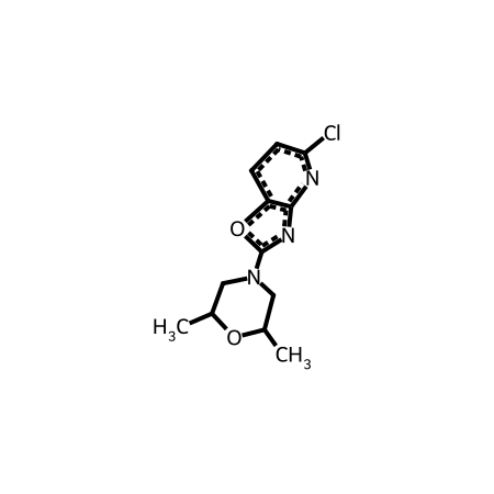 CC1CN(c2nc3nc(Cl)ccc3o2)CC(C)O1